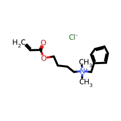 C=CC(=O)OCCCC[N+](C)(C)Cc1ccccc1.[Cl-]